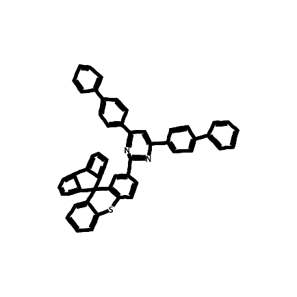 c1ccc(-c2ccc(-c3cc(-c4ccc(-c5ccccc5)cc4)nc(-c4ccc5c(c4)C4(c6ccccc6S5)c5ccccc5-c5ccccc54)n3)cc2)cc1